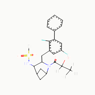 [2H]C([2H])([2H])C([2H])(O)C(=O)N1C2CC(C2)C(NS(=O)(=O)CC)C1Cc1cc(F)cc(-c2ccccc2)c1F